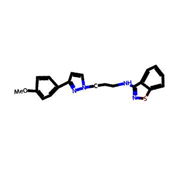 COc1ccc(-c2ccn(CCCNc3nsc4ccccc34)n2)cc1